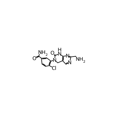 NCc1ncc2c(n1)NC(=O)N(c1cc(C(N)=O)ccc1Cl)C2